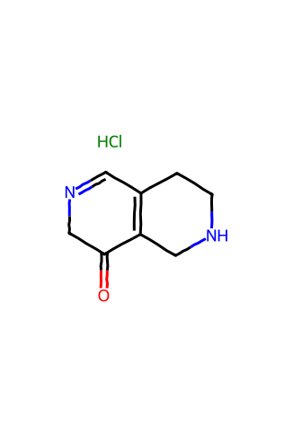 Cl.O=C1CN=CC2=C1CNCC2